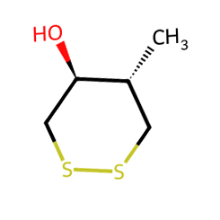 C[C@@H]1CSSC[C@H]1O